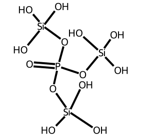 O=P(O[Si](O)(O)O)(O[Si](O)(O)O)O[Si](O)(O)O